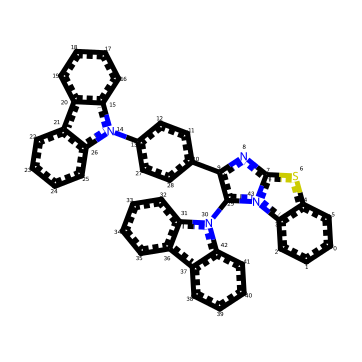 c1ccc2c(c1)sc1nc(-c3ccc(-n4c5ccccc5c5ccccc54)cc3)c(-n3c4ccccc4c4ccccc43)n12